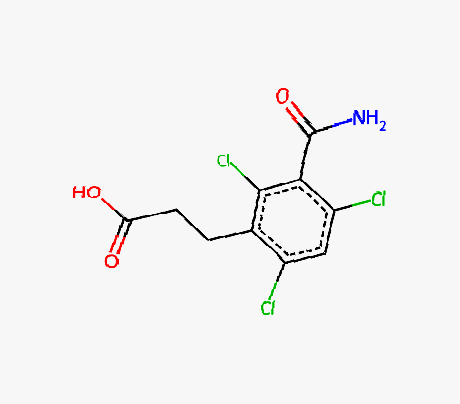 NC(=O)c1c(Cl)cc(Cl)c(CCC(=O)O)c1Cl